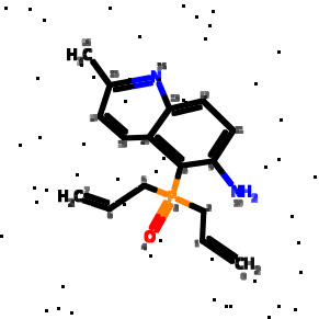 C=CCP(=O)(CC=C)c1c(N)ccc2nc(C)ccc12